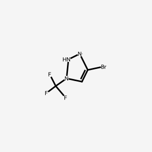 FC(F)(F)N1C=C(Br)[N]N1